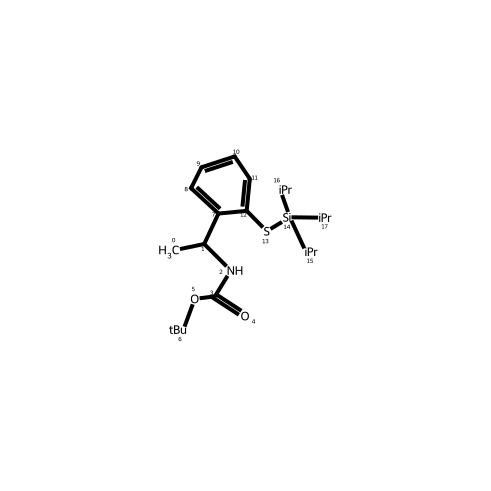 CC(NC(=O)OC(C)(C)C)c1ccccc1S[Si](C(C)C)(C(C)C)C(C)C